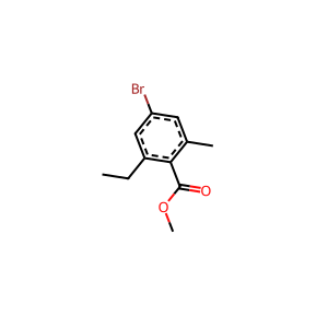 CCc1cc(Br)cc(C)c1C(=O)OC